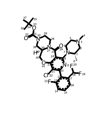 C[C@H]1CN(C)CCN1c1nc(-c2c(F)cccc2C(F)F)c(Cl)c2c1C(=O)N1CCN(C(=O)OC(C)(C)C)C[C@@H]1CO2